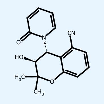 CC1(C)Oc2cccc(C#N)c2[C@@H](n2ccccc2=O)[C@@H]1O